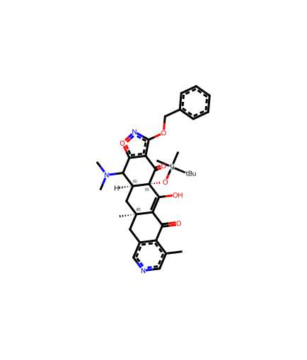 Cc1cncc2c1C(=O)C1=C(O)[C@]3(O[Si](C)(C)C(C)(C)C)C(=O)c4c(OCc5ccccc5)noc4C(N(C)C)[C@@H]3C[C@]1(C)C2